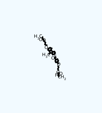 C=CC(=O)OCCCCOc1ccc2c(c1)C(C)c1cc(SC(=O)c3ccc(OCCCCOC(=O)C(=C)F)cc3)ccc1-2